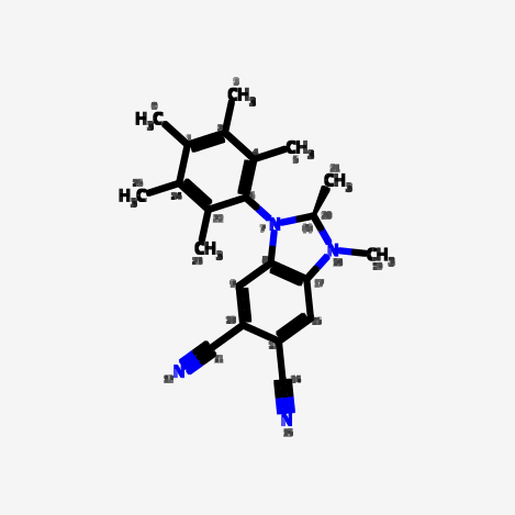 Cc1c(C)c(C)c(N2c3cc(C#N)c(C#N)cc3N(C)[C@@H]2C)c(C)c1C